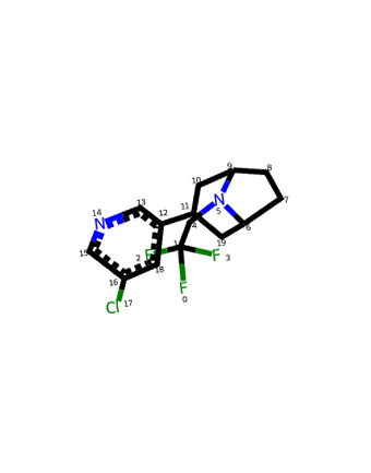 FC(F)(F)CN1C2CCC1CC(c1cncc(Cl)c1)C2